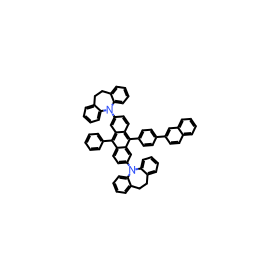 c1ccc(-c2c3ccc(N4c5ccccc5CCc5ccccc54)cc3c(-c3ccc(-c4ccc5ccccc5c4)cc3)c3ccc(N4c5ccccc5CCc5ccccc54)cc23)cc1